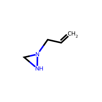 C=CCN1CN1